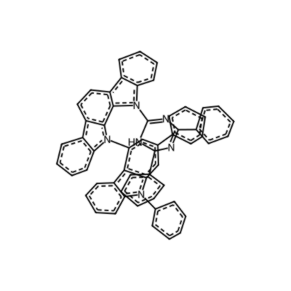 c1ccc(C2=NC(c3ccccc3)NC(n3c4ccccc4c4ccc5c6ccccc6n(-c6cc(-c7ccccc7)cc7c6c6ccccc6n7-c6ccccc6)c5c43)=N2)cc1